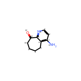 Nc1ccnc2c1CCCCC2=O